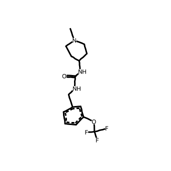 CN1CCC(NC(=O)NCc2cccc(OC(F)(F)F)c2)CC1